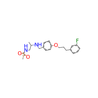 CC(CNS(C)(=O)=O)NCc1ccc(OCCCc2cccc(F)c2)cc1